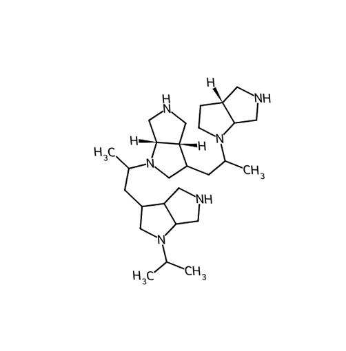 CC(C)N1CC(CC(C)N2CC(CC(C)N3CC[C@@H]4CNCC43)[C@H]3CNC[C@H]32)C2CNCC21